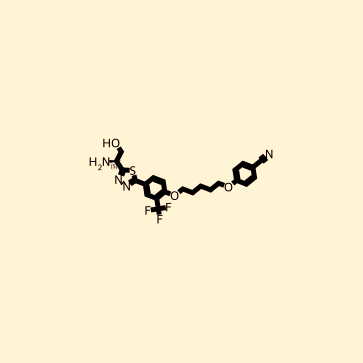 N#Cc1ccc(OCCCCCOc2ccc(-c3nnc([C@@H](N)CO)s3)cc2C(F)(F)F)cc1